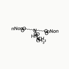 CCCCCCCCCC(=O)OCCCCCCCCN(CCCCCCCCOC(=O)CCCCCCCCC)CCOC(=O)NCCN(C)C